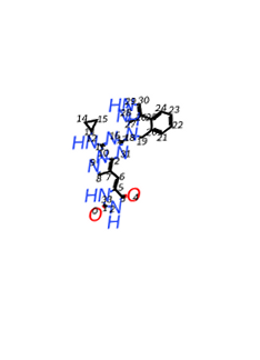 O=C1NC(=O)/C(=C/c2cnn3c(NC4CC4)nc(NCc4ccccc4-c4cn[nH]c4)nc23)N1